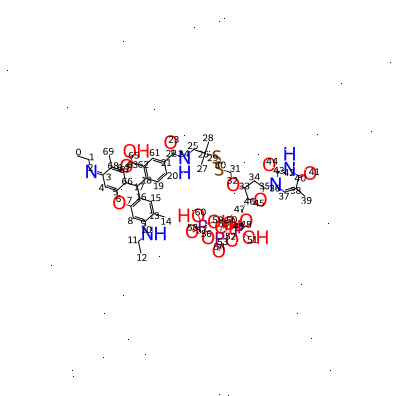 CC/N=C1/C=C2Oc3cc(NCC)c(C)cc3C(c3ccc(C(=O)NCC(C)(C)SSCOC4C[C@H](n5cc(C)c(=O)[nH]c5=O)O[C@@H]4COP(=O)(O)OP(=O)(O)OP(=O)(O)O)cc3C(=O)O)C2C=C1C